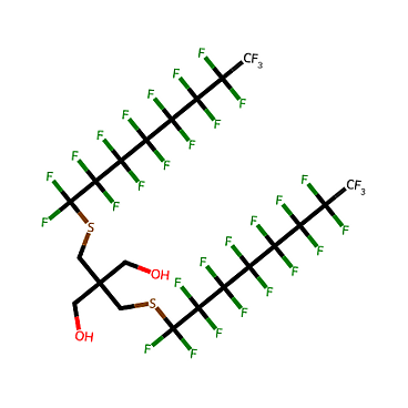 OCC(CO)(CSC(F)(F)C(F)(F)C(F)(F)C(F)(F)C(F)(F)C(F)(F)C(F)(F)C(F)(F)F)CSC(F)(F)C(F)(F)C(F)(F)C(F)(F)C(F)(F)C(F)(F)C(F)(F)C(F)(F)F